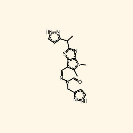 Cc1c(/C=N\N(C=O)Cc2cc[nH]n2)c2sc(C(C)c3cc[nH]n3)nc2n1C